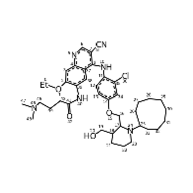 CCOc1cc2ncc(C#N)c(Nc3ccc(OCC4C(CO)CCCN4C4CCCCCCCC4)cc3Cl)c2cc1NC(=O)CCCN(C)C